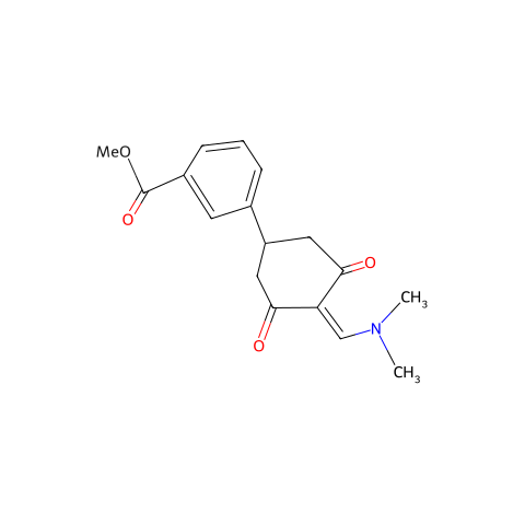 COC(=O)c1cccc(C2CC(=O)C(=CN(C)C)C(=O)C2)c1